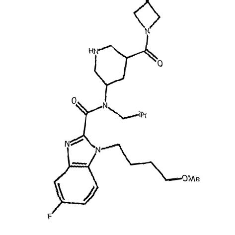 COCCCCn1c(C(=O)N(CC(C)C)C2CNCC(C(=O)N3CCC3)C2)nc2cc(F)ccc21